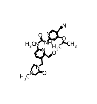 CC(C)Oc1cc(NC(=O)N(C)c2ccc(CN3CCN(C)CC3=O)c(C=O)n2)ncc1C#N